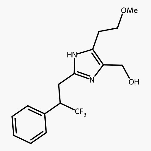 COCCc1[nH]c(CC(c2ccccc2)C(F)(F)F)nc1CO